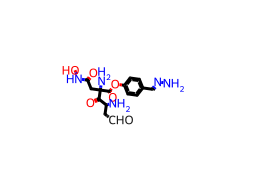 NN=Cc1ccc(OC(=O)C(N)(CC(=O)NO)C(=O)C(N)CC=O)cc1